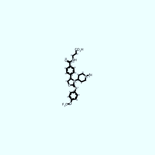 CC(=O)N1CCC(N2C(=Nc3ccc(OC(F)(F)F)cc3)OCC2c2ccc(C(=O)NCCC(=O)O)cc2)CC1